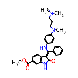 COC(=O)c1ccc2c(c1)NC(=O)C2=C(Nc1ccc(N(C)CCCN(C)C)cc1)c1ccccc1